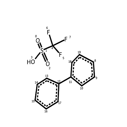 O=S(=O)(O)C(F)(F)F.c1ccc(-c2ccccc2)cc1